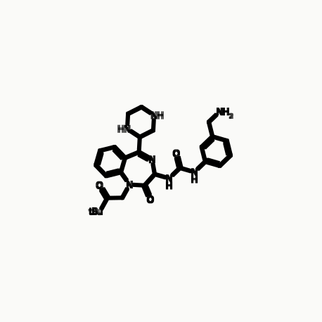 CC(C)(C)C(=O)CN1C(=O)C(NC(=O)Nc2cccc(CN)c2)N=C(C2CNCCN2)c2ccccc21